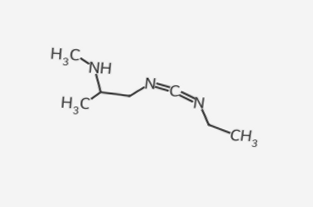 CCN=C=NCC(C)NC